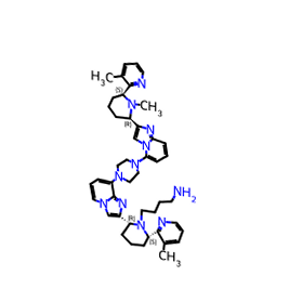 Cc1cccnc1[C@@H]1CCC[C@H](c2cn3c(N4CCN(c5cccn6cc([C@H]7CCC[C@@H](c8ncccc8C)N7CCCCN)nc56)CC4)cccc3n2)N1C